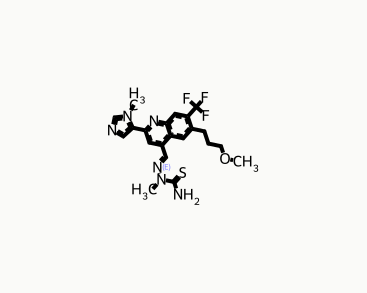 COCCCc1cc2c(/C=N/N(C)C(N)=S)cc(-c3cncn3C)nc2cc1C(F)(F)F